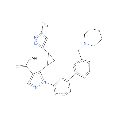 COC(=O)c1cnn(-c2cccc(-c3cccc(CN4CCCCC4)c3)c2)c1C1CC1c1cn(C)nn1